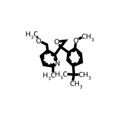 COCc1ccc(C)nc1C1(c2cc(C(C)(C)C)ccc2OC)CO1